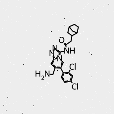 NCc1cc2nnc(NC(=O)CC3CC4CCC3C4)n2cc1-c1ccc(Cl)cc1Cl